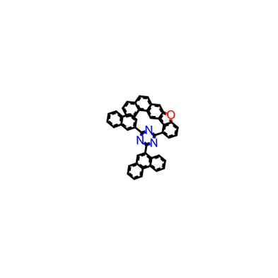 c1ccc2cc(-c3nc(-c4cc5ccccc5c5ccccc45)nc(-c4cccc5oc6cc7ccc8ccccc8c7cc6c45)n3)ccc2c1